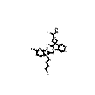 CC(C)NC(=O)N1CC2(C1)C(=O)N(Cc1nc3nc(Cl)ccc3n1CCCCF)c1ccccc12